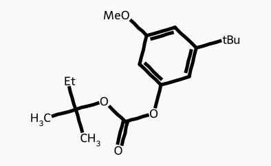 CCC(C)(C)OC(=O)Oc1cc(OC)cc(C(C)(C)C)c1